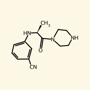 C[C@H](Nc1cccc(C#N)c1)C(=O)N1CCNCC1